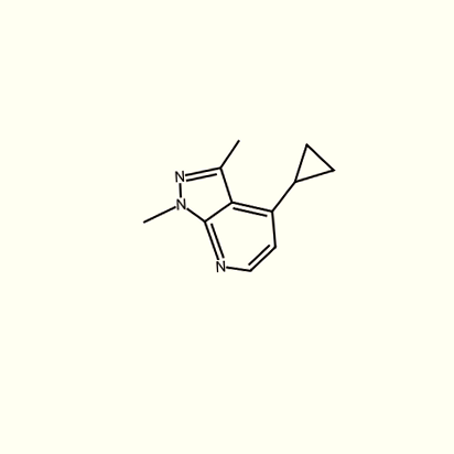 Cc1nn(C)c2nccc(C3CC3)c12